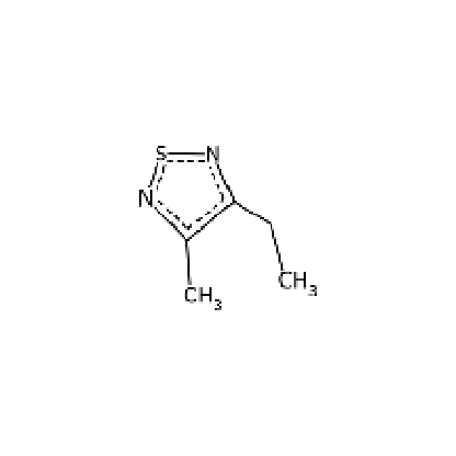 CCc1nsnc1C